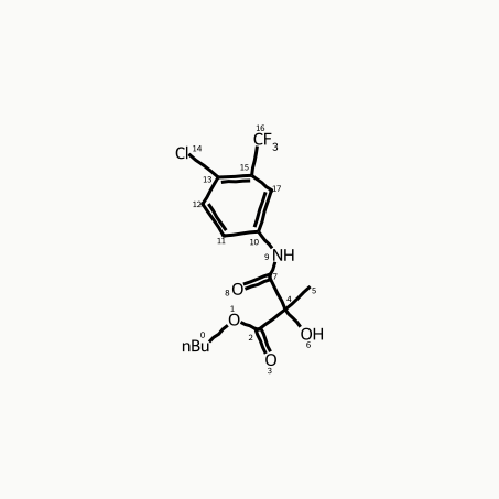 CCCCOC(=O)C(C)(O)C(=O)Nc1ccc(Cl)c(C(F)(F)F)c1